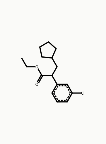 CCOC(=O)C(CC1CCCC1)c1cccc(Cl)c1